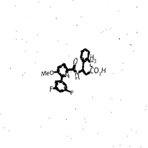 COc1ccc(C(=O)NC(CC(=O)O)c2ccccc2C)nc1-c1cc(F)cc(F)c1